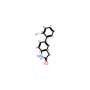 O=C1Cc2cc(-c3ccccc3F)ccc2N1